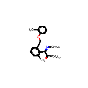 CON=C(C(=O)OC)c1c(C)cccc1COc1ccccc1C